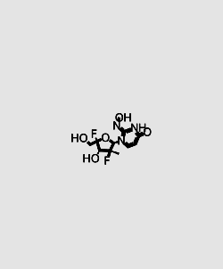 C[C@]1(F)[C@H](n2ccc(=O)[nH]/c2=N\O)O[C@](F)(CO)[C@H]1O